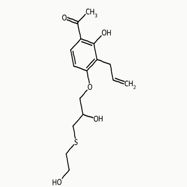 C=CCc1c(OCC(O)CSCCO)ccc(C(C)=O)c1O